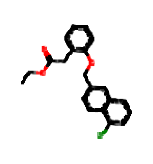 CCOC(=O)Cc1ccccc1OCc1ccc2c(Br)cccc2c1